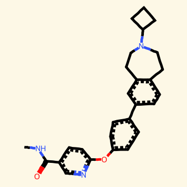 CNC(=O)c1ccc(Oc2ccc(-c3ccc4c(c3)CCN(C3CCC3)CC4)cc2)nc1